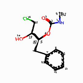 CC(C)(C)NC(=O)O[C@@H](Cc1ccccc1)C(O)CCl